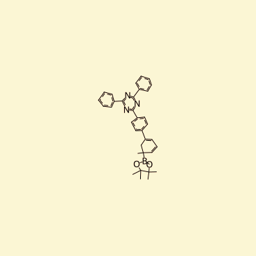 CC1(B2OC(C)(C)C(C)(C)O2)C=CC=C(c2ccc(-c3nc(-c4ccccc4)nc(-c4ccccc4)n3)cc2)C1